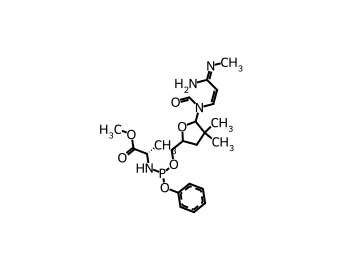 C/N=C(N)\C=C/N(C=O)C1OC(COP(N[C@@H](C)C(=O)OC)Oc2ccccc2)CC1(C)C